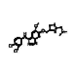 COc1cc2c(Nc3ccc(Cl)c(Cl)c3)ncnc2cc1OCC1CSC(CN(C)C)=N1